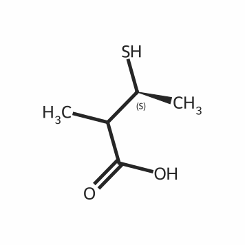 CC(C(=O)O)[C@H](C)S